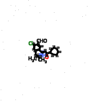 CC1(C)Cc2cc(Cl)c(C=O)cc2/C(=C/C(=O)C2CCCCCC2)N1